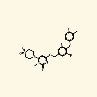 Cc1cc(Oc2c(F)cc(COc3cc(N4CCS(=O)(=O)CC4)n(C)c(=O)n3)cc2F)ccc1Cl